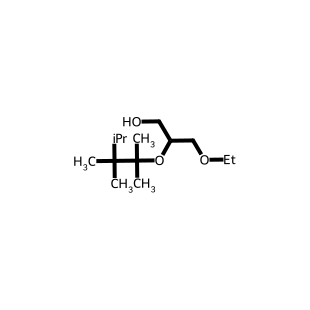 CCOCC(CO)OC(C)(C)C(C)(C)C(C)C